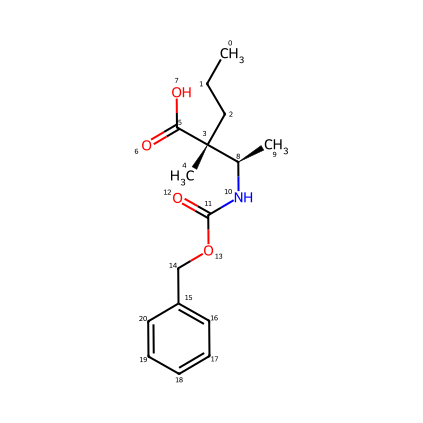 CCC[C@@](C)(C(=O)O)[C@@H](C)NC(=O)OCc1ccccc1